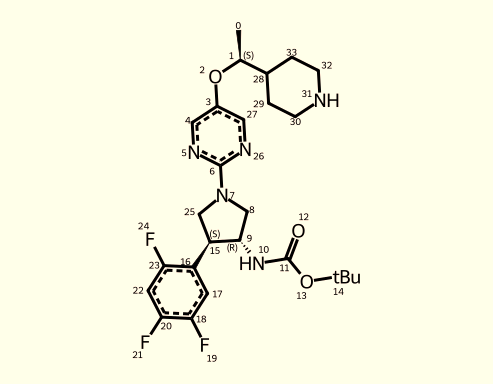 C[C@H](Oc1cnc(N2C[C@H](NC(=O)OC(C)(C)C)[C@@H](c3cc(F)c(F)cc3F)C2)nc1)C1CCNCC1